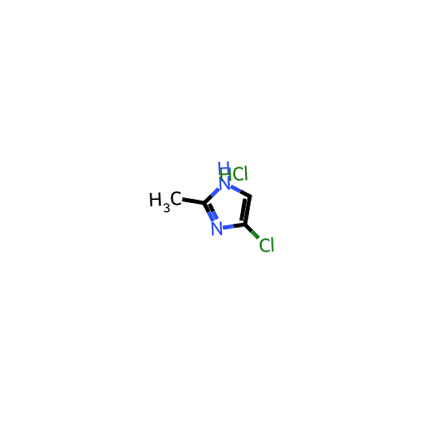 Cc1nc(Cl)c[nH]1.Cl